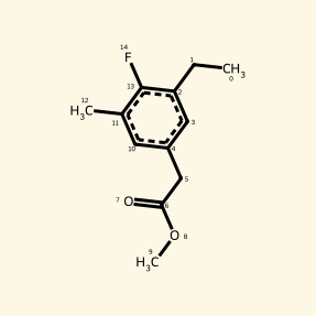 CCc1cc(CC(=O)OC)cc(C)c1F